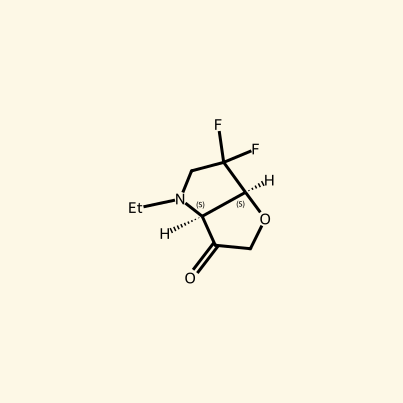 CCN1CC(F)(F)[C@H]2OCC(=O)[C@H]21